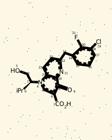 CC(C)[C@@H](CO)n1cc(C(=O)O)c(=O)c2nc(Cc3cccc(Cl)c3F)ccc21